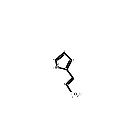 O=C(O)C=Cc1ccc[nH]1